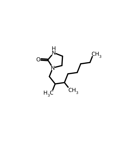 CCCCCC(C)C(C)CN1CCNC1=O